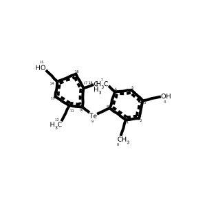 Cc1cc(O)cc(C)c1[Te]c1c(C)cc(O)cc1C